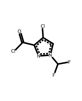 O=C(Cl)c1nn(C(F)F)cc1Cl